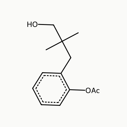 CC(=O)Oc1ccccc1CC(C)(C)CO